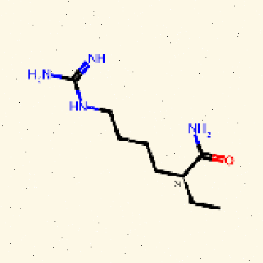 CC[C@@H](CCCCNC(=N)N)C(N)=O